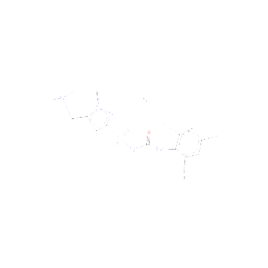 CCN(CC)Cc1cc(S(=O)(=O)NC(=O)Nc2c(C(C)C)cc(F)cc2C(C)C)nn1C.[Na]